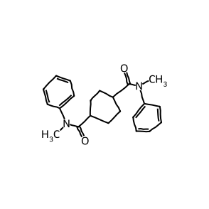 CN(C(=O)C1CCC(C(=O)N(C)c2ccccc2)CC1)c1ccccc1